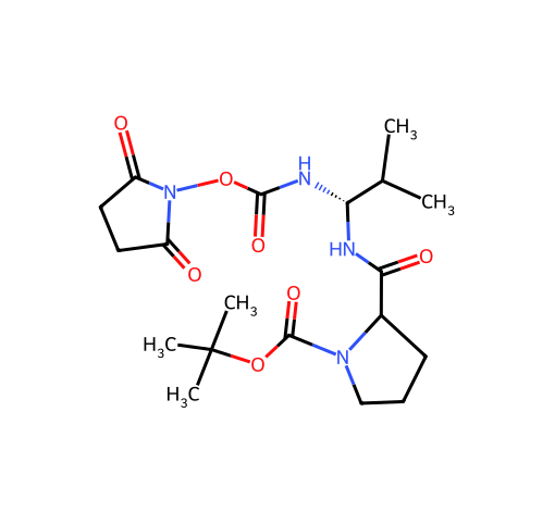 CC(C)[C@@H](NC(=O)ON1C(=O)CCC1=O)NC(=O)C1CCCN1C(=O)OC(C)(C)C